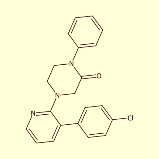 O=C1CN(c2ncccc2-c2ccc(Cl)cc2)CCN1c1ccccc1